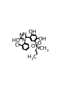 CCCN(C)S(=O)(=O)c1cc(-c2nnc(O)n2-c2ccccc2Cl)c(O)cc1O